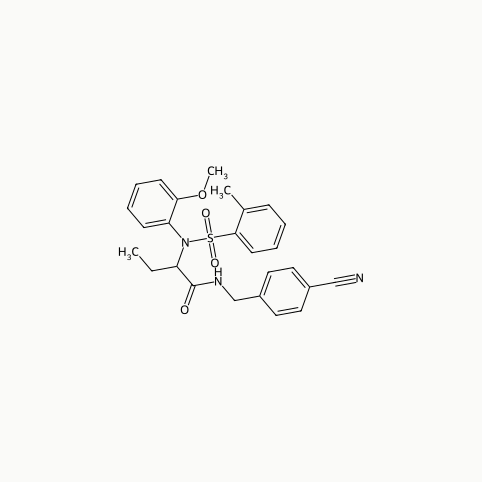 CCC(C(=O)NCc1ccc(C#N)cc1)N(c1ccccc1OC)S(=O)(=O)c1ccccc1C